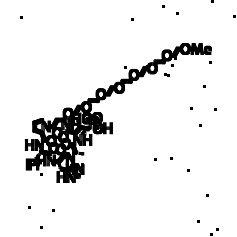 COCCOCCOCCOCCOCCOCCOCCOCCC(=O)N1CCCC1C(=O)N[C@@H](CC(C)C)C(=O)N[C@@H](Cc1cnc[nH]1)C(=O)N[C@@H](C)C(=O)N[C@H](C(N)=O)[C@@H](C)CP(=O)(O)O